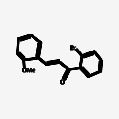 COc1ccccc1/C=C/C(=O)c1ccccc1Br